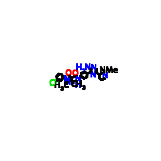 CNc1ncccc1-c1cnc(N)c(-c2ccc(NC(=O)c3c(C)n(C)n(-c4cccc(Cl)c4)c3=O)cc2)n1